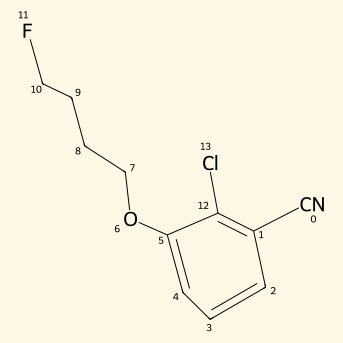 N#Cc1cccc(OCCCCF)c1Cl